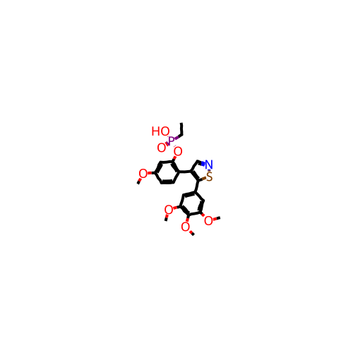 CCP(=O)(O)Oc1cc(OC)ccc1-c1cnsc1-c1cc(OC)c(OC)c(OC)c1